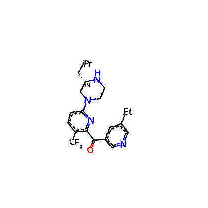 CCc1cncc(C(=O)c2nc(N3CCN[C@@H](CC(C)C)C3)ccc2C(F)(F)F)c1